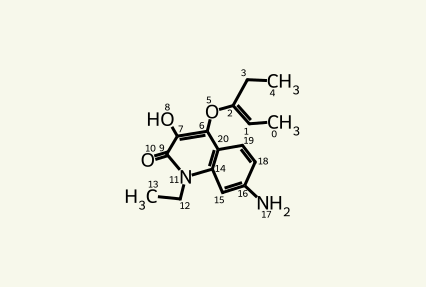 CC=C(CC)Oc1c(O)c(=O)n(CC)c2cc(N)ccc12